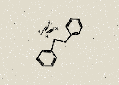 C=C.C=C.c1ccc(CCc2ccccc2)cc1